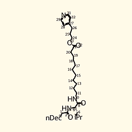 CCCCCCCCCCCC(=O)N[C@@H](CC(C)C)C(=O)NCCCCCCCCCCC(=O)OCCCc1ccncc1